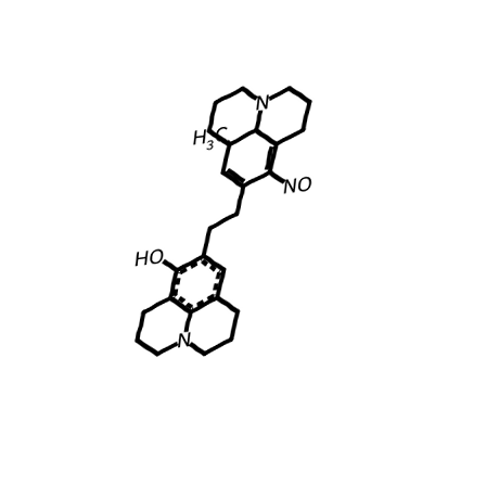 CC12C=C(CCc3cc4c5c(c3O)CCCN5CCC4)C(N=O)=C3CCCN(CCC1)C32